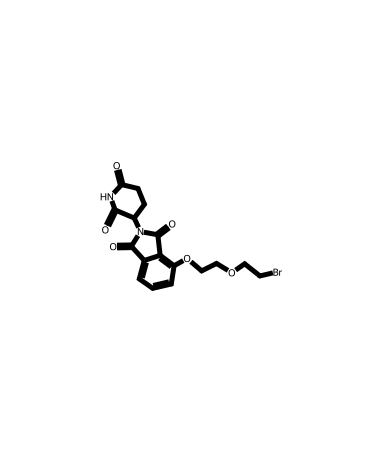 O=C1CCC(N2C(=O)c3cccc(OCCOCCBr)c3C2=O)C(=O)N1